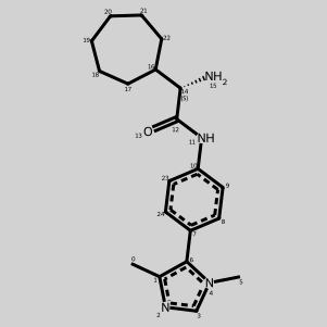 Cc1ncn(C)c1-c1ccc(NC(=O)[C@@H](N)C2CCCCCC2)cc1